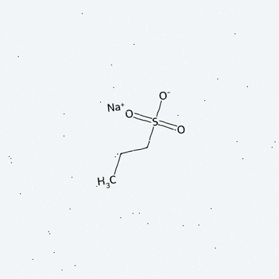 C[CH]CS(=O)(=O)[O-].[Na+]